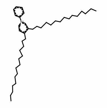 CCCCCCCCCCCCCCCc1cc[n+](-c2ccccc2)cc1CCCCCCCCCCCCCCC